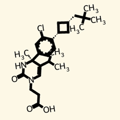 CC(C)C1=CN(CCC(=O)O)C(=O)N[C@@]1(C)c1ccc([C@H]2C[C@@H](CC(C)(C)C)C2)c(Cl)c1